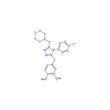 COc1ccc(Cc2nnc(CN3CCOCC3)n2-c2ccc(F)cc2)cc1OC